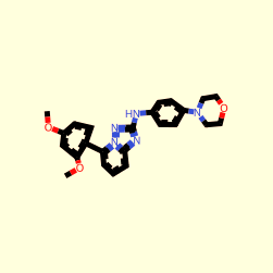 COc1ccc(-c2cccc3nc(Nc4ccc(N5CCOCC5)cc4)nn23)c(OC)c1